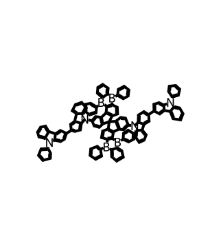 c1ccc(B2c3ccccc3B(c3ccccc3)c3c2ccc2c3-c3cc(-n4c5ccccc5c5cc(-c6ccc7c(c6)c6ccccc6n7-c6ccccc6)ccc54)ccc3C23c2ccc(-n4c5ccccc5c5cc(-c6ccc7c(c6)c6ccccc6n7-c6ccccc6)ccc54)cc2-c2c3ccc3c2B(c2ccccc2)c2ccccc2B3c2ccccc2)cc1